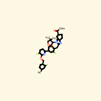 COC(=O)c1ccc2nc(Cc3ccc(-c4ccc(F)c(OCc5ccc(C#N)cc5F)n4)cc3F)n(C3COCC3(C)C)c2c1